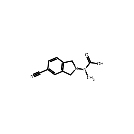 CN(C(=O)O)N1Cc2ccc(C#N)cc2C1